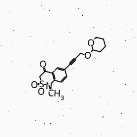 CN1c2ccc(C#CCOC3CCCCO3)cc2C(=O)CS1(=O)=O